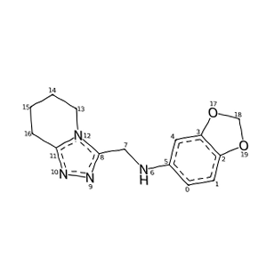 c1cc2c(cc1NCc1nnc3n1CCCC3)OCO2